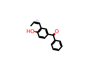 C/C=C\c1cc(C(=O)c2ccccc2)ccc1O